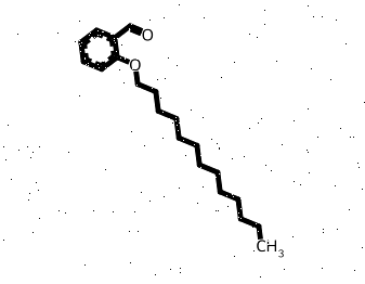 CCCCCCCCCCCCCOc1ccccc1C=O